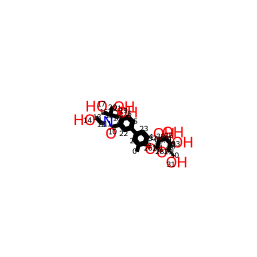 Cc1cc(-c2cccc(C(=O)N(CCO)C(CO)(CO)CO)c2)ccc1O[C@H]1O[C@H](CO)[C@@H](O)[C@H](O)[C@]1(C)O